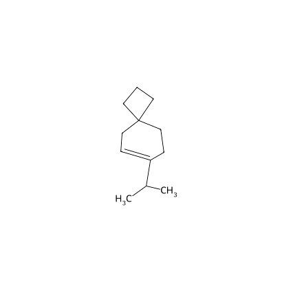 CC(C)C1=CCC2(CCC2)CC1